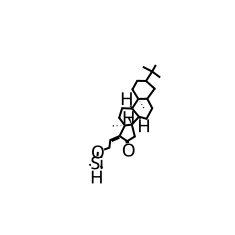 C[SiH](C)OCC=C1C(=O)C[C@H]2[C@@H]3CCC4CC(C(C)(C)C)CC[C@]4(C)[C@H]3CC[C@]12C